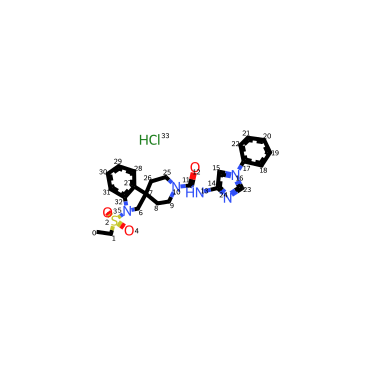 CCS(=O)(=O)N1CC2(CCN(C(=O)Nc3cn(-c4ccccc4)cn3)CC2)c2ccccc21.Cl